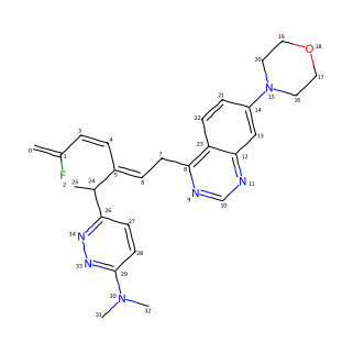 C=C(F)/C=C\C(=C/Cc1ncnc2cc(N3CCOCC3)ccc12)C(C)c1ccc(N(C)C)nn1